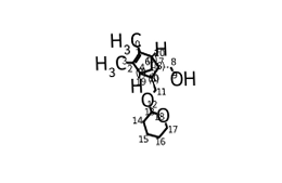 CC1=C(C)[C@@H]2C[C@H]1[C@H](CO)[C@H]2COC1CCCCO1